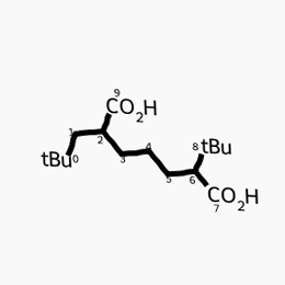 CC(C)(C)CC(CCCC(C(=O)O)C(C)(C)C)C(=O)O